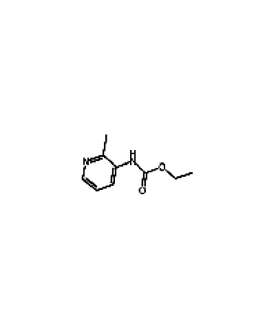 CCOC(=O)Nc1cccnc1I